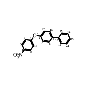 O=[N+]([O-])c1ccc(Oc2ccc(-c3ccccc3)cc2)cc1